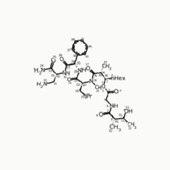 CCCCCC[C@@H](OC(=O)CNC(=O)[C@@H](C)[C@H](C)O)[C@@H](C)C(=O)N(C)[C@@H](CC(C)C)C(=O)N[C@H](C(=O)N[C@@H](CN)C(N)=O)c1ccccc1